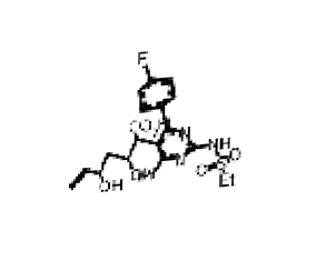 C=CC(O)CC(O)C(C(=O)O)c1c(-c2ccc(F)cc2)nc(NS(=O)(=O)CC)nc1C(C)C